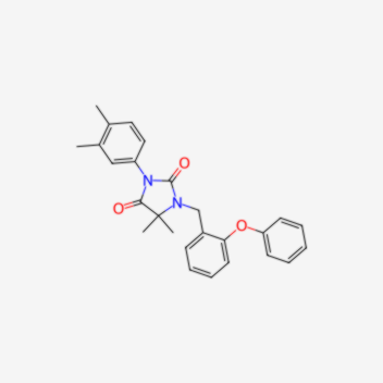 Cc1ccc(N2C(=O)N(Cc3ccccc3Oc3ccccc3)C(C)(C)C2=O)cc1C